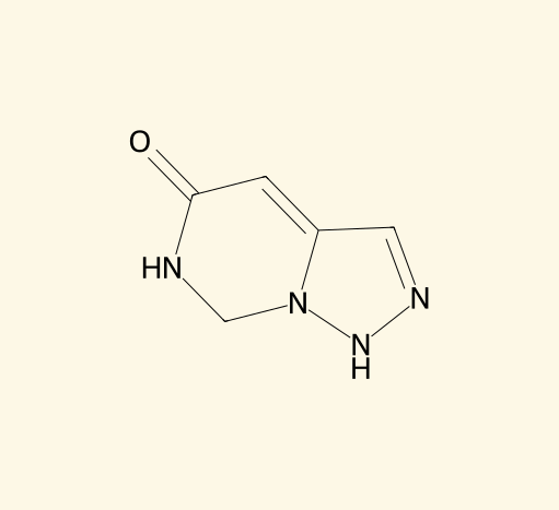 O=C1C=C2C=NNN2CN1